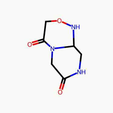 O=C1CN2C(=O)CONC2CN1